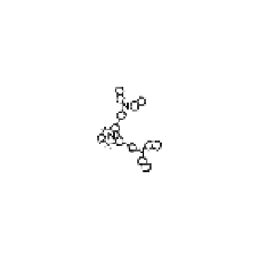 CC1(C)c2cccc3c2-n2c4c1cc(-c1ccc(N(c5ccc6ccccc6c5)c5ccc6ccccc6c5)cc1)cc4c1cc(-c4ccc(N(c5ccc6ccccc6c5)c5ccc6ccccc6c5)cc4)cc(c12)C3(C)C